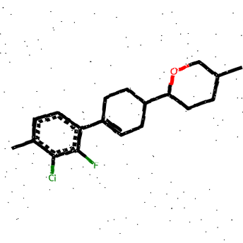 Cc1ccc(C2=CCC(C3CCC(C)CO3)CC2)c(F)c1Cl